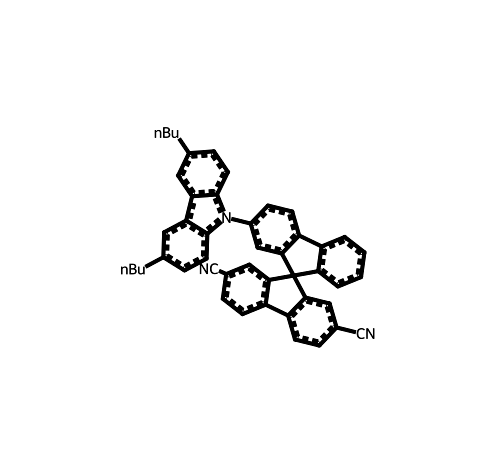 CCCCc1ccc2c(c1)c1cc(CCCC)ccc1n2-c1ccc2c(c1)C1(c3ccccc3-2)c2cc(C#N)ccc2-c2ccc(C#N)cc21